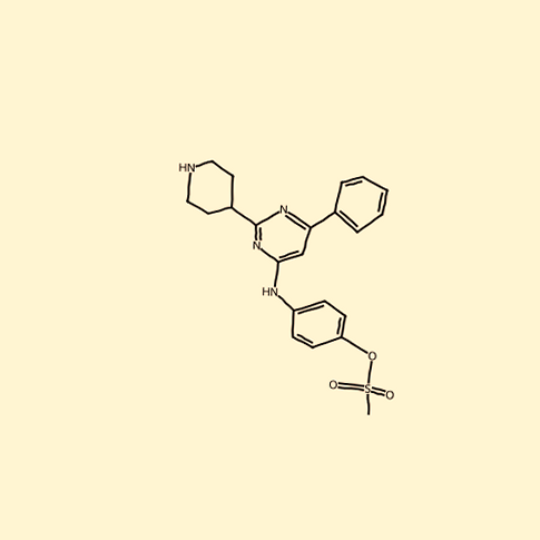 CS(=O)(=O)Oc1ccc(Nc2cc(-c3ccccc3)nc(C3CCNCC3)n2)cc1